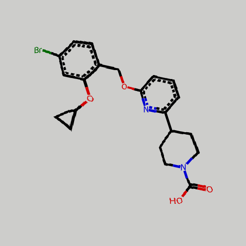 O=C(O)N1CCC(c2cccc(OCc3ccc(Br)cc3OC3CC3)n2)CC1